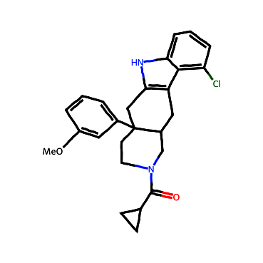 COc1cccc(C23CCN(C(=O)C4CC4)CC2Cc2c([nH]c4cccc(Cl)c24)C3)c1